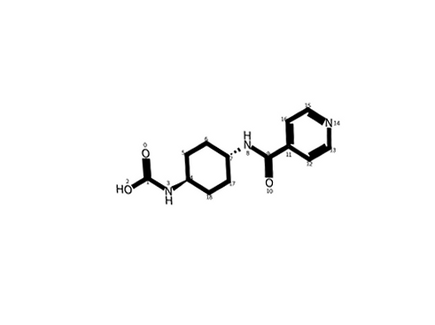 O=C(O)N[C@H]1CC[C@H](NC(=O)c2ccncc2)CC1